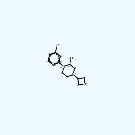 C[C@H]1CN(C2COC2)CCN1c1cc(I)ccn1